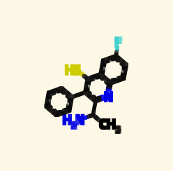 CC(N)c1nc2ccc(F)cc2c(S)c1-c1ccccc1